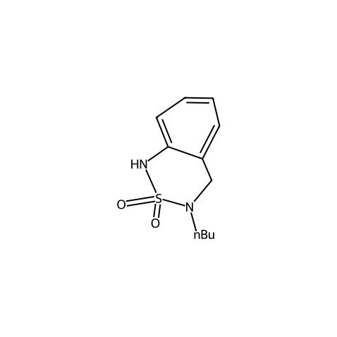 CCCCN1Cc2ccccc2NS1(=O)=O